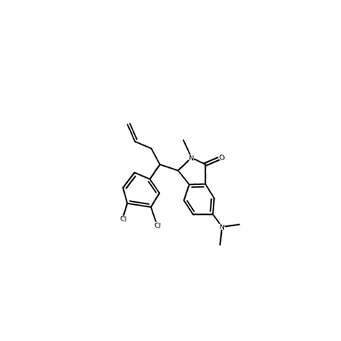 C=CCC(c1ccc(Cl)c(Cl)c1)C1c2ccc(N(C)C)cc2C(=O)N1C